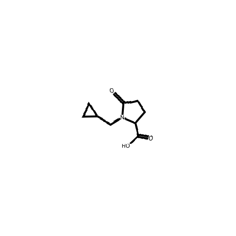 O=C(O)C1CCC(=O)N1CC1CC1